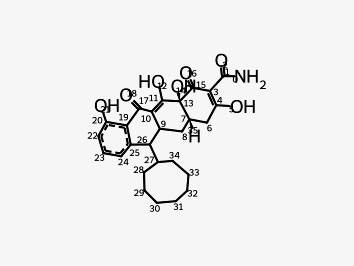 NC(=O)C1=C(O)C[C@@H]2CC3C(=C(O)[C@]2(O)C1=O)C(=O)c1c(O)cccc1C3C1CCCCCCC1